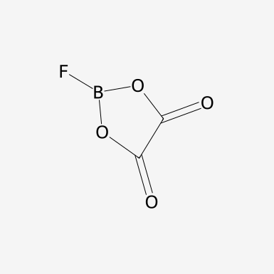 O=C1OB(F)OC1=O